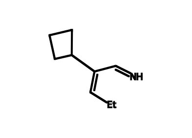 CC/C=C(\C=N)C1CCC1